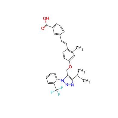 Cc1cc(OCc2c(C(C)C)nnn2-c2ccccc2C(F)(F)F)ccc1C=Cc1cccc(C(=O)O)c1